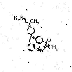 CC(CCN)N1CCC(N(Cc2cccc(C#N)c2)c2ccc(C(=O)N(C)C)cc2)CC1